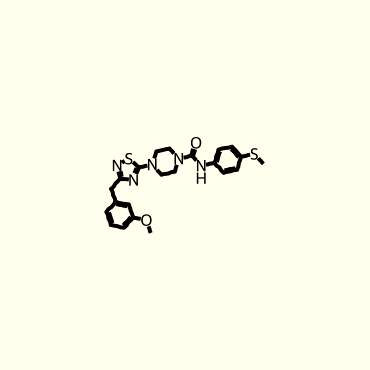 COc1cccc(Cc2nsc(N3CCN(C(=O)Nc4ccc(SC)cc4)CC3)n2)c1